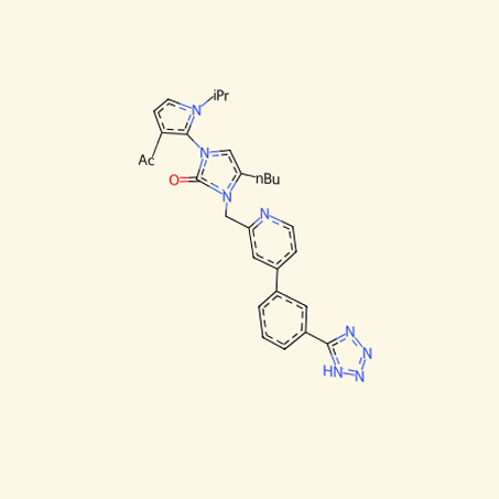 CCCCc1cn(-c2c(C(C)=O)ccn2C(C)C)c(=O)n1Cc1cc(-c2cccc(-c3nnn[nH]3)c2)ccn1